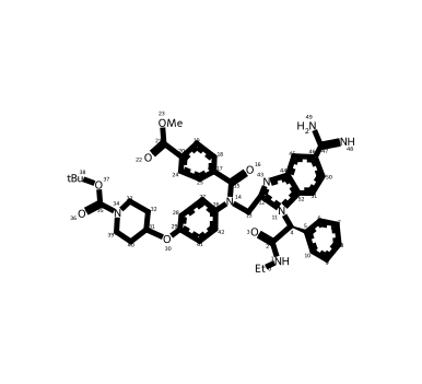 CCNC(=O)[C@H](c1ccccc1)n1c(CN(C(=O)c2ccc(C(=O)OC)cc2)c2ccc(OC3CCN(C(=O)OC(C)(C)C)CC3)cc2)nc2cc(C(=N)N)ccc21